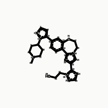 CN1CCC(n2nccc2-c2ccc3c(c2)OCCn2cc(-c4ncnn4CCO)nc2-3)CC1